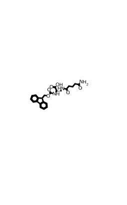 NC(=O)CCCC(=O)NC[C@H](NC(=O)OCC1c2ccccc2-c2ccccc21)C(=O)O